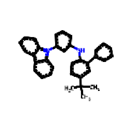 CC(C)(C)c1ccc(Nc2cccc(-n3c4ccccc4c4ccccc43)c2)c(-c2ccccc2)c1